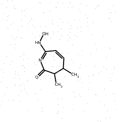 CC1C=CC(NO)=NC(=O)C1C